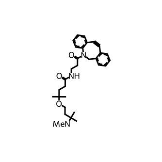 CNC(C)(C)CCOC(C)(C)CCC(=O)NCCC(=O)N1Cc2ccccc2C#Cc2ccccc21